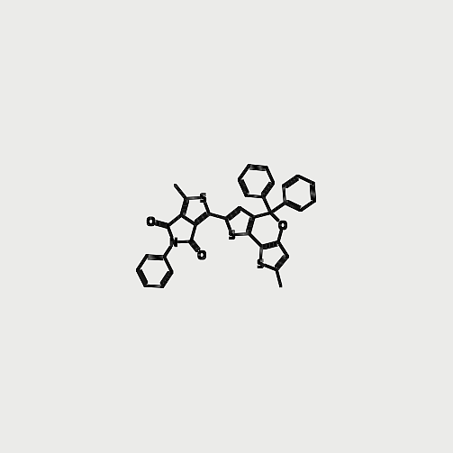 Cc1cc2c(s1)-c1sc(-c3sc(C)c4c3C(=O)N(c3ccccc3)C4=O)cc1C(c1ccccc1)(c1ccccc1)O2